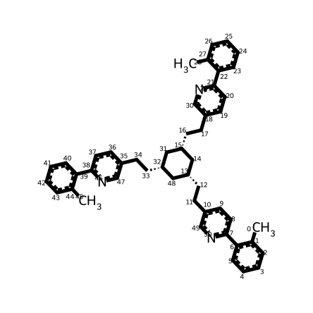 Cc1ccccc1-c1ccc(CC[C@H]2C[C@@H](CCc3ccc(-c4ccccc4C)nc3)C[C@@H](CCc3ccc(-c4ccccc4C)nc3)C2)cn1